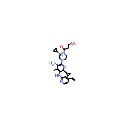 C=Cc1ccnc(Nc2c(C3CC3)nc(N3CCN(C(=O)CCO)[C@H](C4CC4)C3)c(N)c2C)c1